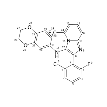 Fc1cccc(Cl)c1-c1nc2cccc(C(F)(F)F)n2c1Nc1ccc2c(c1)OCCO2